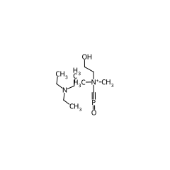 CCN(CC)CC.C[N+](C)(C#P=O)CCO